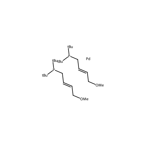 COCC=CCP(C(C)(C)C)C(C)(C)C.COCC=CCP(C(C)(C)C)C(C)(C)C.[Pd]